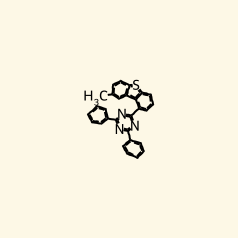 Cc1ccc2sc3cccc(-c4nc(-c5ccccc5)nc(-c5ccccc5)n4)c3c2c1